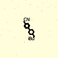 CCC(C)CC1CCC(c2ccc(CC#N)cc2)CC1